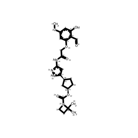 COc1cc(O)c(C=O)c(OCC(=O)Nc2cc([C@H]3CC[C@@H](OC(=O)N4CCC4(C)C)C3)[nH]n2)c1